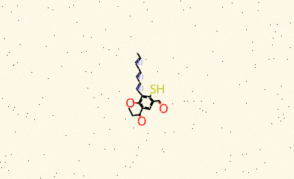 C/C=C/C=C/C=C/c1c(S)c(C=O)cc2c1OCCC2=O